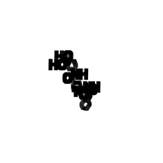 O=C(Nc1ccc(O)c(O)c1)c1ccnc(NS(=O)(=O)CC2CCCCC2)c1